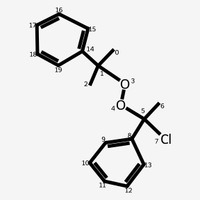 CC(C)(OOC(C)(Cl)c1ccccc1)c1ccccc1